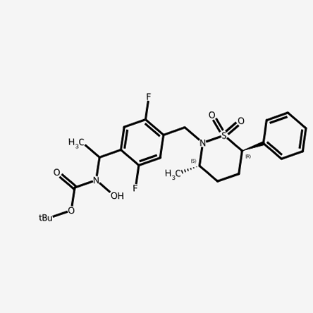 CC(c1cc(F)c(CN2[C@@H](C)CC[C@H](c3ccccc3)S2(=O)=O)cc1F)N(O)C(=O)OC(C)(C)C